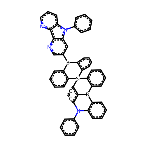 c1ccc(N2c3ccccc3B3c4ccccc4[Si]4(c5ccccc5B(c5cnc6c7ncccc7n(-c7ccccc7)c6c5)c5ccccc54)c4cccc2c43)cc1